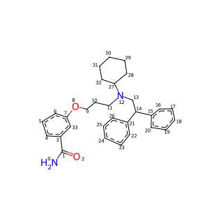 NC(=O)c1cccc(OCCCN(CC(c2ccccc2)c2ccccc2)C2CCCCC2)c1